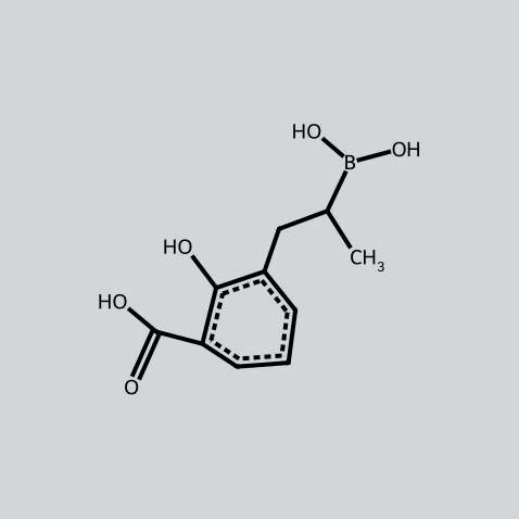 CC(Cc1cccc(C(=O)O)c1O)B(O)O